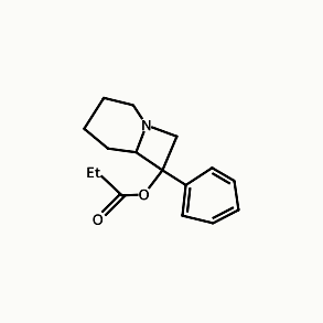 CCC(=O)OC1(c2ccccc2)CN2CCCCC21